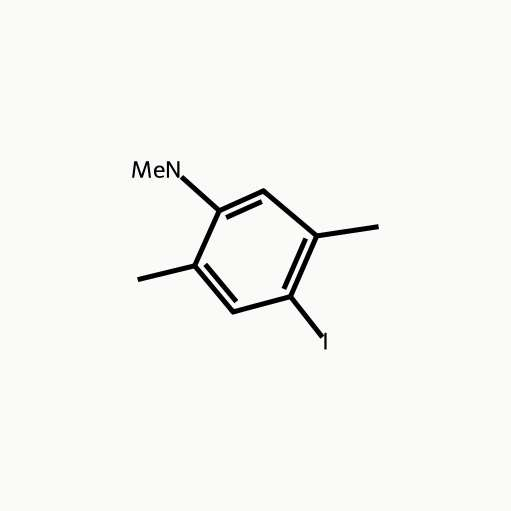 CNc1cc(C)c(I)cc1C